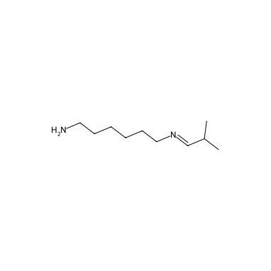 CC(C)C=NCCCCCCN